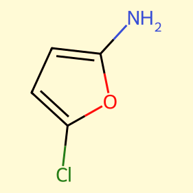 Nc1ccc(Cl)o1